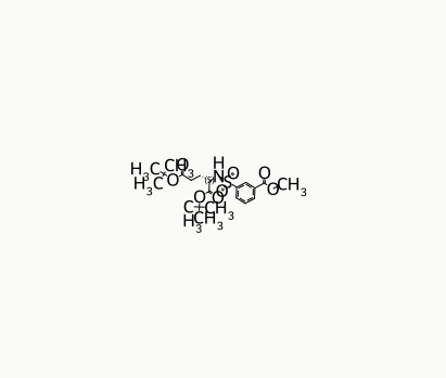 COC(=O)c1cccc(S(=O)(=O)N[C@@H](CCC(=O)OC(C)(C)C)C(=O)OC(C)(C)C)c1